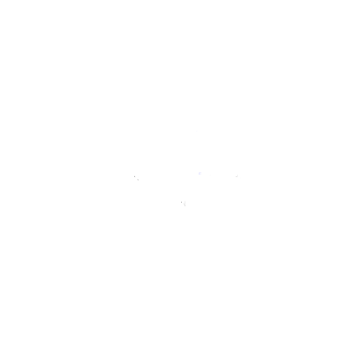 C/C=C\C=C(\CN(CC)CCN(C)C)C(C)CC